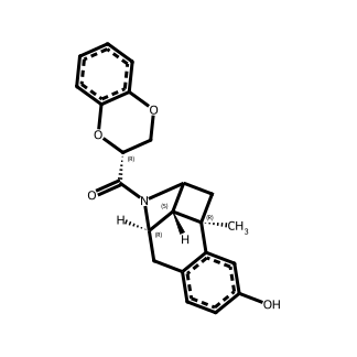 C[C@@]12CC3[C@H]1[C@@H](Cc1ccc(O)cc12)N3C(=O)[C@H]1COc2ccccc2O1